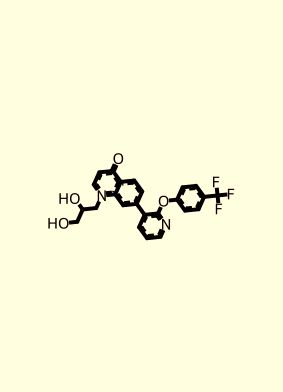 O=c1ccn(CC(O)CO)c2cc(-c3cccnc3Oc3ccc(C(F)(F)F)cc3)ccc12